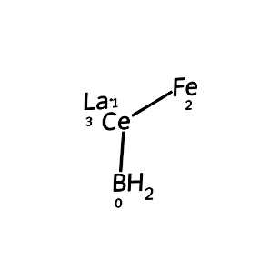 [BH2][Ce][Fe].[La]